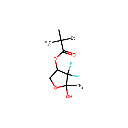 CCC(C)(C(=O)OC1COC(O)(C(F)(F)F)C1(F)F)C(F)(F)F